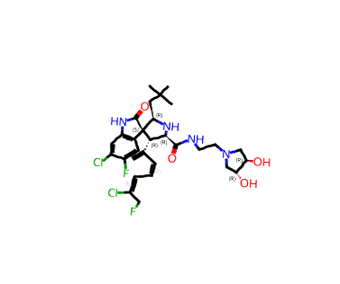 C=C(/C=C\C=C(\Cl)CF)[C@H]1[C@H](C(=O)NCCN2C[C@@H](O)[C@H](O)C2)N[C@H](CC(C)(C)C)[C@]12C(=O)Nc1cc(Cl)c(F)cc12